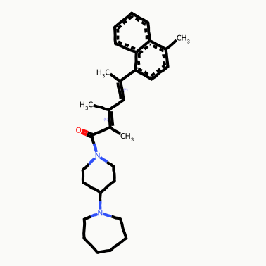 C/C(=C\C(C)=C(/C)C(=O)N1CCC(N2CCCCCC2)CC1)c1ccc(C)c2ccccc12